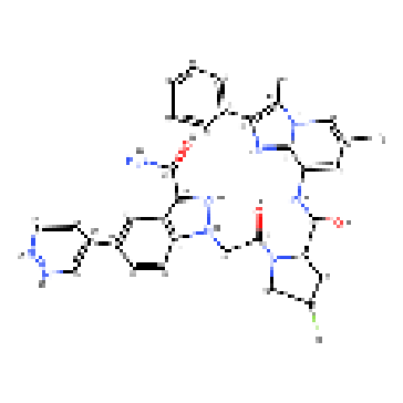 Cc1cc(NC(=O)C2CC(F)CN2C(=O)Cn2nc(C(N)=O)c3cc(-c4ccnnc4)ccc32)c2nc(-c3ccccc3)c(C)n2c1